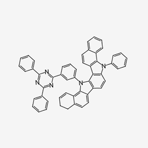 C1=Cc2c(ccc3c4ccc5c(c6ccc7ccccc7c6n5-c5ccccc5)c4n(-c4cccc(-c5nc(-c6ccccc6)nc(-c6ccccc6)n5)c4)c23)CC1